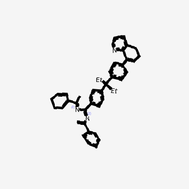 C=C(/N=C(\N=C(/C)C1=CCCC=C1)c1ccc(C(CC)(CC)c2ccc(C3=CCCc4cccnc43)cc2)cc1)c1ccccc1